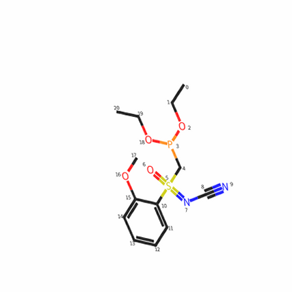 CCOP(CS(=O)(=NC#N)c1ccccc1OC)OCC